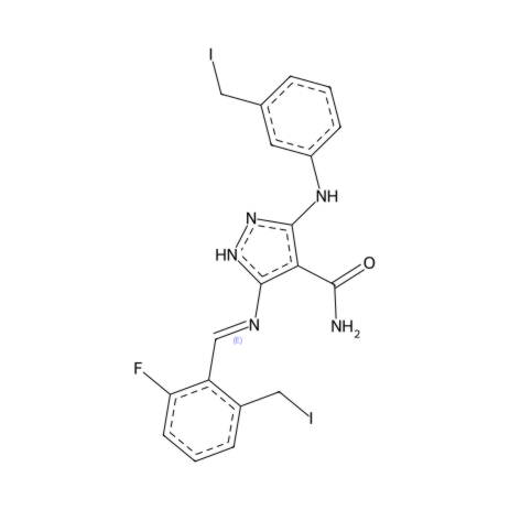 NC(=O)c1c(Nc2cccc(CI)c2)n[nH]c1/N=C/c1c(F)cccc1CI